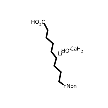 CCCCCCCCCCCCCCCCCC(=O)O.[CaH2].[Li+].[OH-]